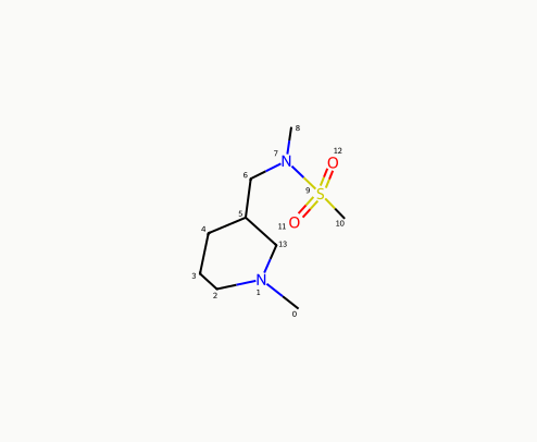 CN1CCCC(CN(C)S(C)(=O)=O)C1